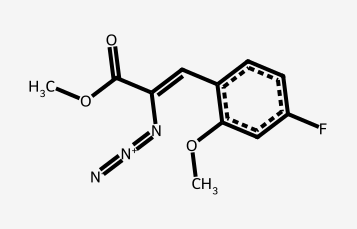 COC(=O)/C(=C/c1ccc(F)cc1OC)N=[N+]=[N-]